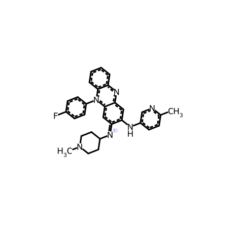 Cc1ccc(Nc2cc3nc4ccccc4n(-c4ccc(F)cc4)c-3c/c2=N\C2CCN(C)CC2)cn1